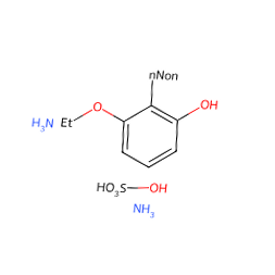 CCCCCCCCCc1c(O)cccc1OCC.N.N.O=S(=O)(O)O